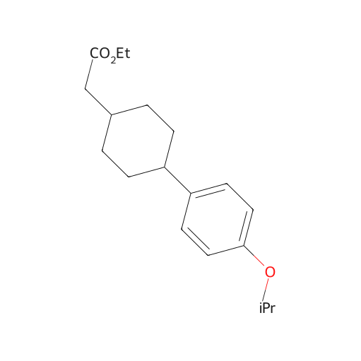 CCOC(=O)CC1CCC(c2ccc(OC(C)C)cc2)CC1